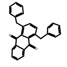 O=C1c2ccccc2C(=O)c2c(Cc3ccccc3)ccc(Cc3ccccc3)c21